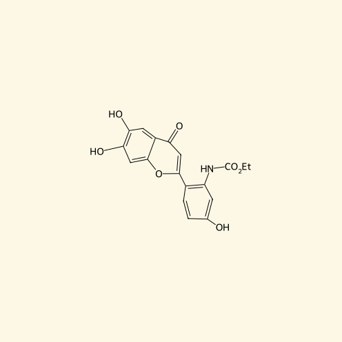 CCOC(=O)Nc1cc(O)ccc1-c1cc(=O)c2cc(O)c(O)cc2o1